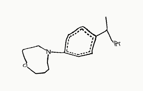 CC(C)C(C)c1ccc(N2CCOCC2)cc1